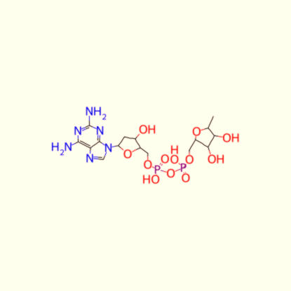 CC1OC(COP(=O)(O)OP(=O)(O)OCC2OC(n3cnc4c(N)nc(N)nc43)CC2O)C(O)C1O